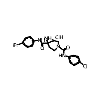 CC(C)c1ccc(NC(=O)C2(N)CCN(C(=O)Nc3ccc(Cl)cc3)CC2)cc1.Cl